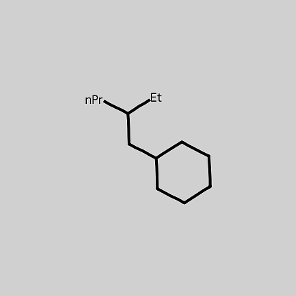 CCCC(CC)CC1CCCCC1